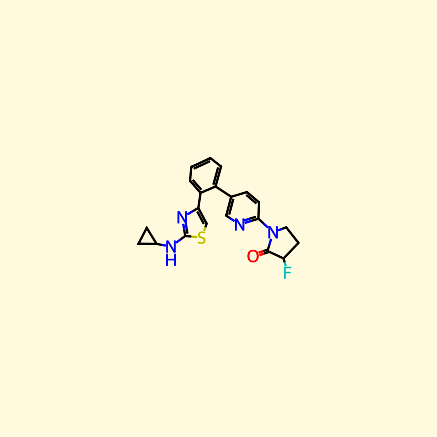 O=C1C(F)CCN1c1ccc(-c2ccccc2-c2csc(NC3CC3)n2)cn1